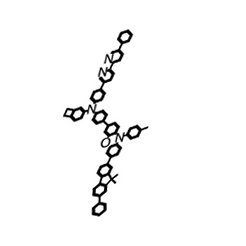 Cc1ccc(N2c3ccc(-c4ccc(N(c5ccc(-c6ccc(-c7ccc(-c8ccccc8)cn7)nc6)cc5)c5ccc6c(c5)CC6)cc4)cc3Oc3cc(-c4ccc5c(c4)C(C)(C)c4cc(-c6ccccc6)ccc4-5)ccc32)cc1